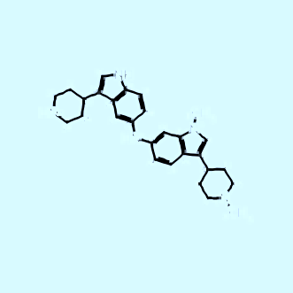 CN1CCC(c2cn(C)c3cc(Nc4ccc5[nH]cc(C6CCNCC6)c5c4)ccc23)CC1